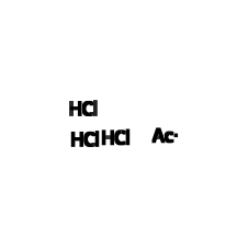 Cl.Cl.Cl.[Ac]